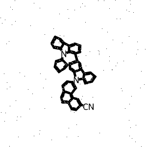 N#Cc1ccc2ccc3ccc(-n4c5ccccc5c5cc(-c6cccc7c8ccccc8n(-c8ccccc8)c67)ccc54)cc3c2c1